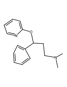 CN(C)CCC(Oc1ccccn1)c1ccccc1